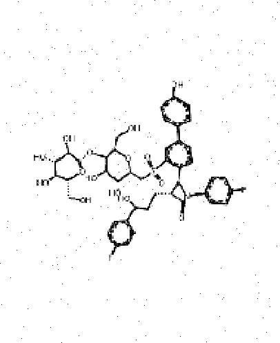 O=C1[C@H](CC[C@H](O)c2ccc(F)cc2)[C@@H](c2ccc(-c3ccc(O)cc3)cc2S(=O)(=O)C[C@@H]2O[C@H](CO)C(O[C@@H]3O[C@H](CO)[C@@H](O)[C@H](O)[C@H]3O)[C@H](O)[C@H]2O)N1c1ccc(F)cc1